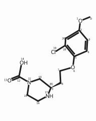 COc1ccc(OCC[C@@H]2CN(C(=O)O)CCN2)c(Cl)c1